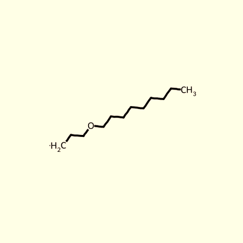 [CH2]CCOCCCCCCCCC